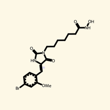 COc1cc(Br)ccc1/C=C1\NC(=O)N(CCCCCCC(=O)NO)C1=O